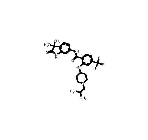 CC(C)CN1CCC(Nc2cc(C(F)(F)F)ccc2C(=O)Nc2ccc3c(c2)NC(=O)C3(C)C)CC1